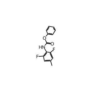 Cc1cc(F)c(NC(=O)Oc2ccccc2)c(F)c1